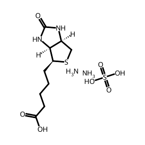 N.N.O=C(O)CCCC[C@@H]1SC[C@@H]2NC(=O)N[C@@H]21.O=S(=O)(O)O